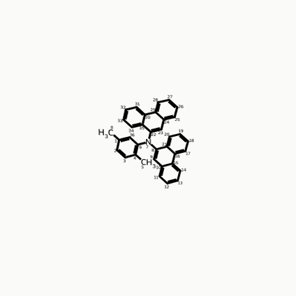 Cc1ccc(C)c(N(c2cc3ccccc3c3ccccc23)c2cc3ccccc3c3ccccc23)c1